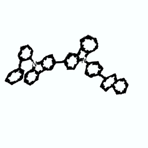 c1ccc(-c2ccccc2-n2c3ccccc3c3cc(-c4ccc5c(c4)c4ccccc4n5-c4ccc(-c5ccc6ccccc6c5)cc4)ccc32)cc1